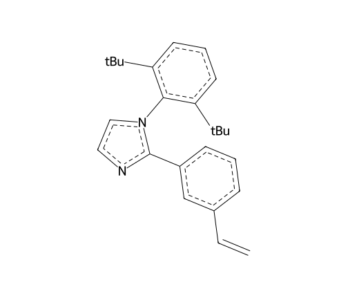 C=Cc1cccc(-c2nccn2-c2c(C(C)(C)C)cccc2C(C)(C)C)c1